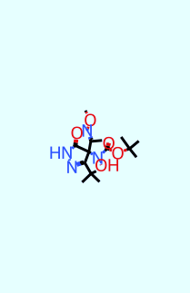 CO/N=C(\C)C1(N(O)C(=O)OC(C)(C)C)C(=O)NN=C1C(C)(C)C